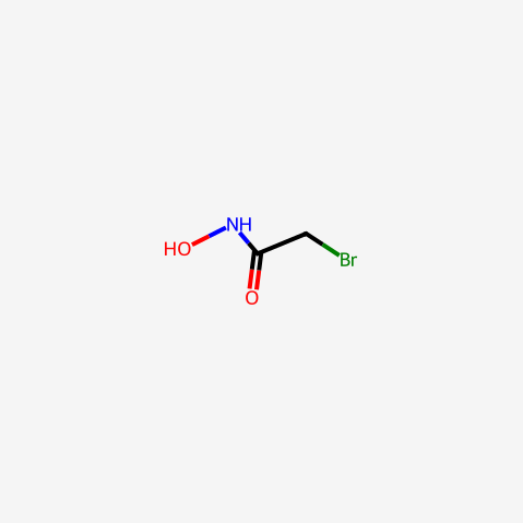 O=C(CBr)NO